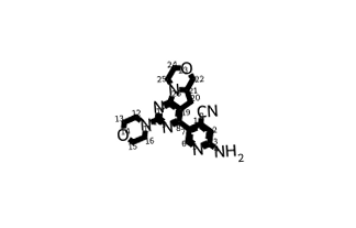 N#Cc1cc(N)ncc1-c1nc(N2CCOCC2)nc2c1CC1COCCN21